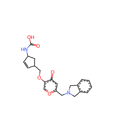 O=C(O)NC1C=CC(COc2coc(CN3Cc4ccccc4C3)cc2=O)C1